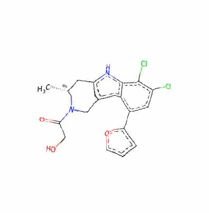 C[C@@H]1Cc2[nH]c3c(Cl)c(Cl)cc(-c4ccco4)c3c2CN1C(=O)CO